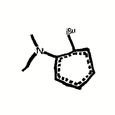 CCC(C)c1ccccc1N(C)C